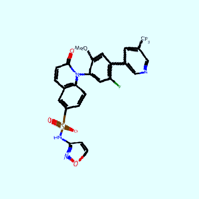 COc1cc(-c2cncc(C(F)(F)F)c2)c(F)cc1-n1c(=O)ccc2cc(S(=O)(=O)Nc3ccon3)ccc21